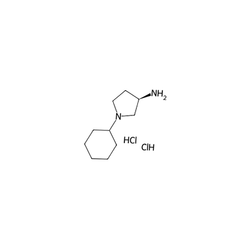 Cl.Cl.N[C@@H]1CCN(C2CCCCC2)C1